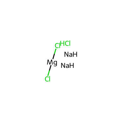 Cl.[Cl][Mg][Cl].[NaH].[NaH]